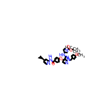 COc1ccc(Cn2nc(N[C@H]3CCN(C(=O)OC(C)(C)C)C3)c3c(Oc4ccc(C(=O)Nc5cc(C6CC6)ccn5)cc4)ccnc32)cc1